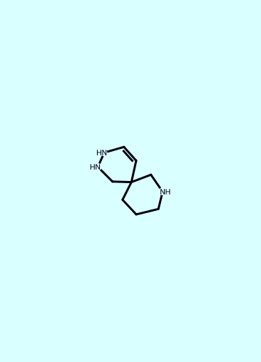 C1=CC2(CCCNC2)CNN1